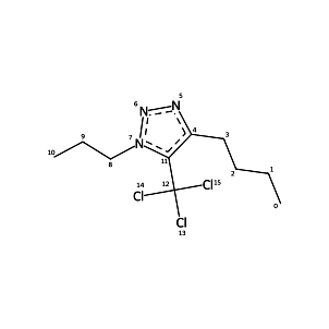 CCCCc1nnn(CCC)c1C(Cl)(Cl)Cl